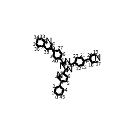 c1ccc(-c2ccc(-c3nc(-c4ccc(-c5ccncc5)cc4)nc(-c4ccc(-c5cnc6ccccc6c5)cc4)n3)nc2)cc1